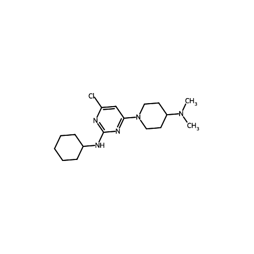 CN(C)C1CCN(c2cc(Cl)nc(NC3CCCCC3)n2)CC1